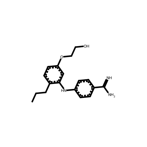 CCCc1c[c]c(OCCO)cc1Nc1ccc(C(=N)N)cc1